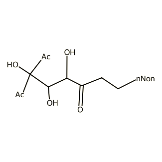 CCCCCCCCCCCC(=O)C(O)C(O)C(O)(C(C)=O)C(C)=O